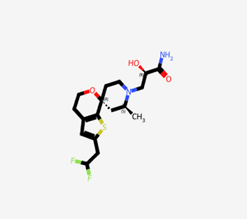 C[C@H]1C[C@@]2(CCN1C[C@@H](O)C(N)=O)OCCc1cc(CC(F)F)sc12